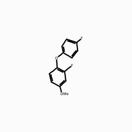 COc1ccc(Oc2ccc(F)cc2)c(F)c1